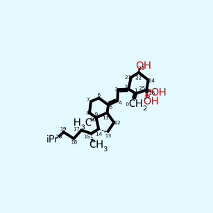 C=C1/C(=C\C=C2CCC[C@@]3(C)C2CC[C@@H]3[C@H](C)CCCC(C)C)C[C@@H](O)CC1(O)O